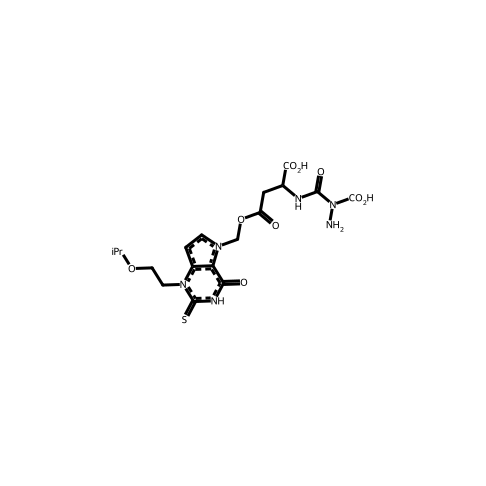 CC(C)OCCn1c(=S)[nH]c(=O)c2c1ccn2COC(=O)CC(NC(=O)N(N)C(=O)O)C(=O)O